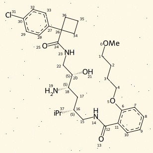 COCCCCOc1ccccc1C(=O)NC[C@@H](C[C@H](N)[C@@H](O)CNC(=O)C1(c2ccc(Cl)cc2)CCC1)C(C)C